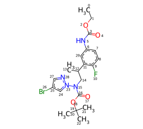 CCOC(=O)Nc1ccc(F)c(C(C)CN(C(=O)OC(C)(C)C)n2cc(Br)cn2)c1